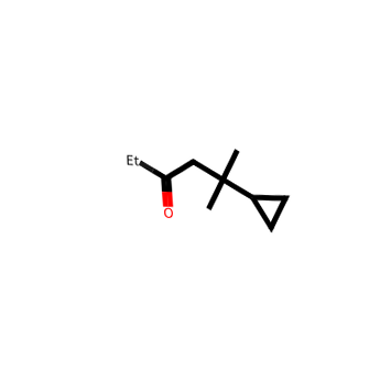 CCC(=O)CC(C)(C)C1CC1